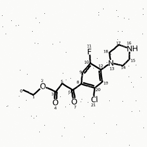 CCOC(=O)CC(=O)c1cc(F)c(N2CCNCC2)cc1Cl